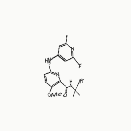 COc1ccc(Nc2cc(F)nc(F)c2)nc1C(=O)NC(C)(C)C(C)C